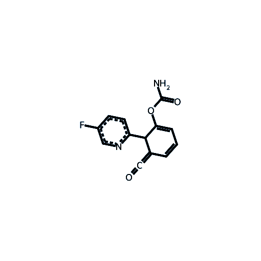 NC(=O)OC1=CC=CC(=C=O)C1c1ccc(F)cn1